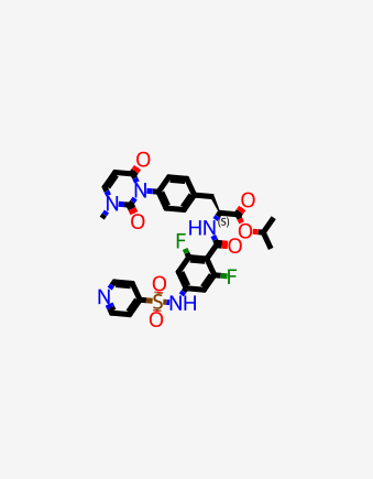 CC(C)OC(=O)[C@H](Cc1ccc(-n2c(=O)ccn(C)c2=O)cc1)NC(=O)c1c(F)cc(NS(=O)(=O)c2ccncc2)cc1F